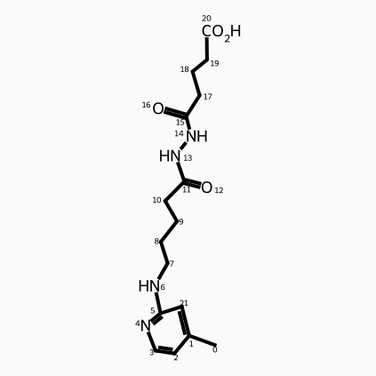 Cc1ccnc(NCCCCC(=O)NNC(=O)CCCC(=O)O)c1